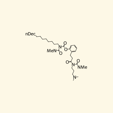 CCCCCCCCCCCCCCCCCCN(C(=O)NC)C(=O)Oc1ccccc1CCC(=O)N(CCCN(C)C)C(=O)NC